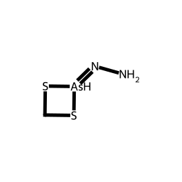 NN=[AsH]1SCS1